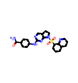 NC(=O)c1ccc(Nc2ncc3ccn(S(=O)(=O)c4cccc5cccnc45)c3n2)cc1